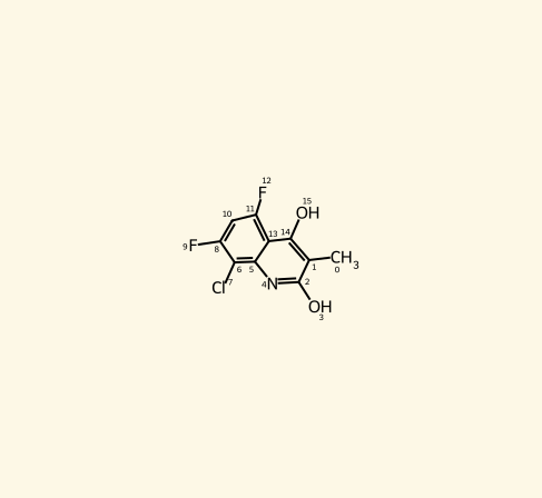 Cc1c(O)nc2c(Cl)c(F)cc(F)c2c1O